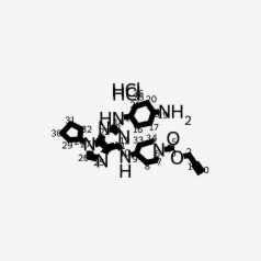 C#CCOC(=O)N1CCC(Nc2nc(NC3CCC(N)CC3)nc3c2ncn3C2CCCC2)CC1.Cl.Cl